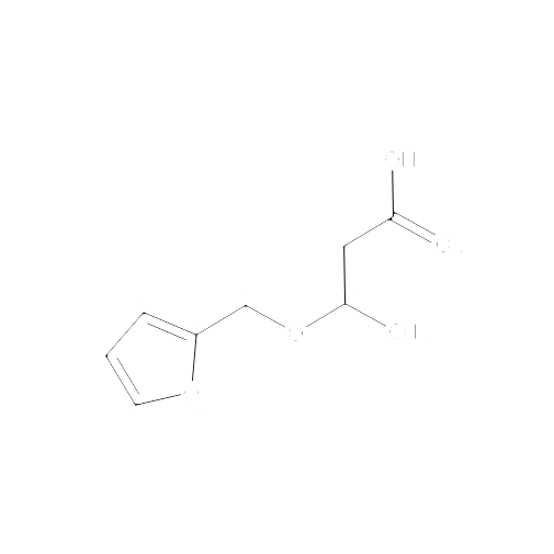 CC(CC(=O)O)OCc1ccco1